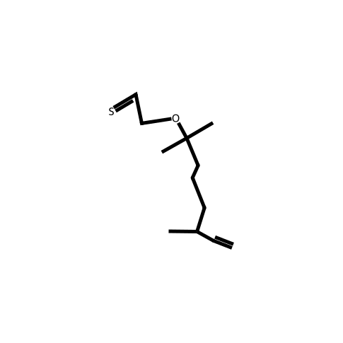 C=CC(C)CCCC(C)(C)OCC=S